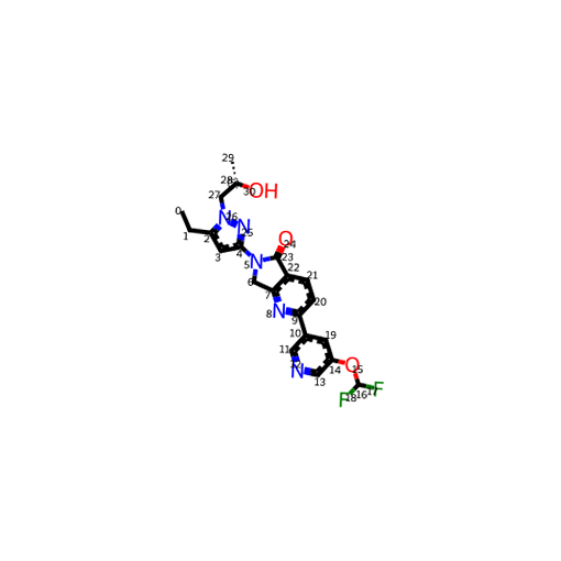 CCc1cc(N2Cc3nc(-c4cncc(OC(F)F)c4)ccc3C2=O)nn1C[C@H](C)O